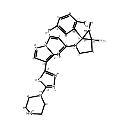 C[C@H]1[C@@H]2CCN(c3ccn4ncc(-c5nnc(N6CCNCC6)s5)c4n3)[C@]12c1cc(F)ccc1F